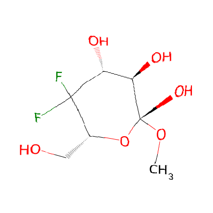 CO[C@]1(O)O[C@H](CO)C(F)(F)[C@H](O)[C@H]1O